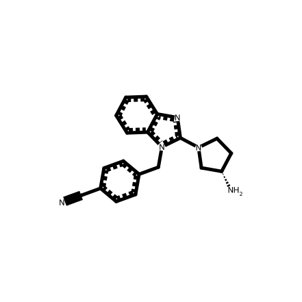 N#Cc1ccc(Cn2c(N3CC[C@H](N)C3)nc3ccccc32)cc1